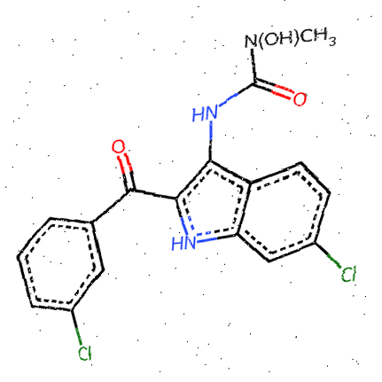 CN(O)C(=O)Nc1c(C(=O)c2cccc(Cl)c2)[nH]c2cc(Cl)ccc12